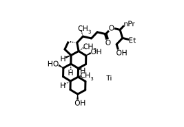 CCCC(OC(=O)CC[C@@H](C)[C@H]1CC[C@H]2[C@@H]3[C@H](O)C[C@@H]4C[C@H](O)CC[C@]4(C)[C@H]3C[C@H](O)[C@]12C)C(CC)CO.[Ti]